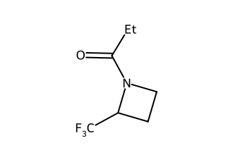 CCC(=O)N1CCC1C(F)(F)F